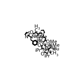 CC[C@H](C)C([C@@H](CC(=O)N1CCC[C@H]1[C@H](OC)[C@@H](C)C(=O)N[C@@H](Cc1ccccc1)c1nccs1)OC)N(C)C(=O)[C@@H](NC(=O)C(C(C)C)N(C)C(=O)[C@@H](NC)[C@@H](C)CC)C(C)C